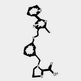 Cc1oc(-c2cccs2)nc1COc1cccc(CN2CCSC2C(=O)O)c1